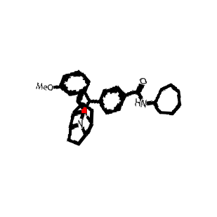 C=CCN1C2CCC1C1CCC2N1C(c1ccc(C(=O)NC2CCCCCC2)cc1)c1cccc(OC)c1